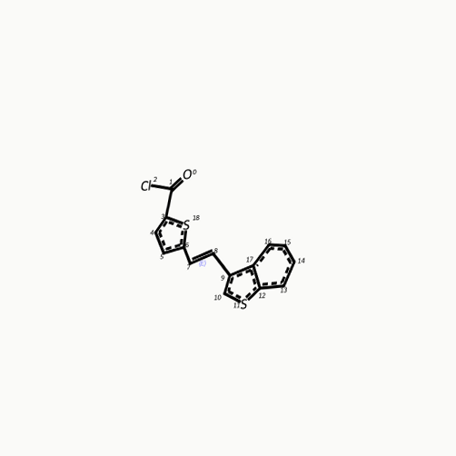 O=C(Cl)c1ccc(/C=C/c2csc3ccccc23)s1